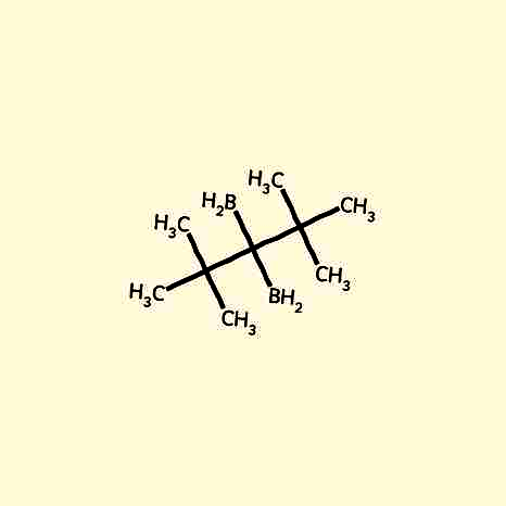 BC(B)(C(C)(C)C)C(C)(C)C